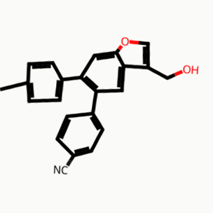 Cc1ccc(-c2cc3occ(CO)c3cc2-c2ccc(C#N)cc2)cc1